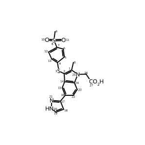 Cc1c(Sc2ccc(S(C)(=O)=O)cc2)c2cc(-c3cc[nH]n3)ccc2n1CC(=O)O